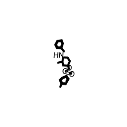 Cc1ccc(S(=O)(=O)OC2CCC(NCc3ccccc3)C(C)C2)cc1